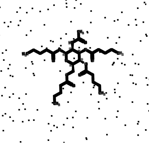 CCCCC(=O)OC[C@H]1O[C@@H](OC(=O)CCCC)[C@@H](NC(C)=O)[C@@H](OC(=O)CCCC)[C@@H]1OC(=O)CCCC